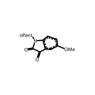 CCCCCN1C(=O)C(=O)c2cc(OC)ccc21